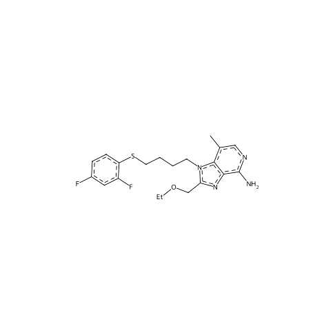 CCOCc1nc2c(N)ncc(C)c2n1CCCCSc1ccc(F)cc1F